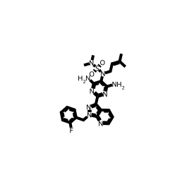 CC(C)=CCN(c1c(N)nc(-c2nn(Cc3ccccc3F)c3ncccc23)nc1N)S(=O)(=O)N(C)C